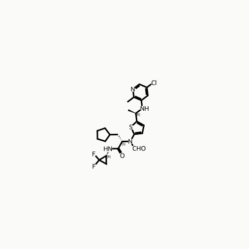 Cc1ncc(Cl)cc1N[C@H](C)c1ccc(N(C=O)[C@@H](CC2CCCC2)C(=O)N[C@@H]2CC2(F)F)s1